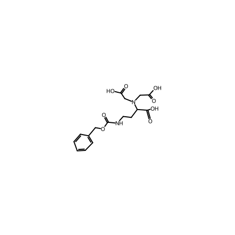 O=C(O)CN(CC(=O)O)C(CCNC(=O)OCc1ccccc1)C(=O)O